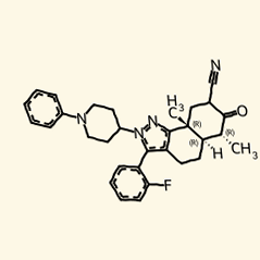 C[C@H]1C(=O)C(C#N)C[C@@]2(C)c3nn(C4CCN(c5ccccc5)CC4)c(-c4ccccc4F)c3CC[C@H]12